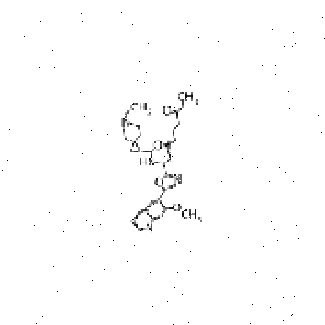 CCC(=O)CCCCC[C@H](NC(O)[C@H]1CC12CCN(CC)CC2)c1ncc(-c2cc3cccnc3cc2OC)o1